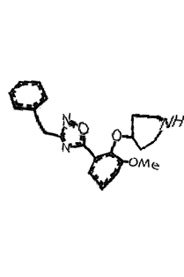 COc1cccc(-c2nc(Cc3ccccc3)no2)c1OC1CCNCC1